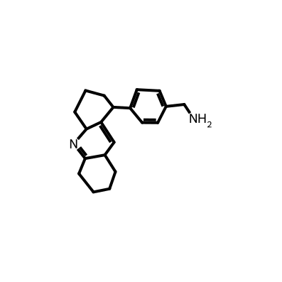 NCc1ccc(C2CCCC3N=C4CCCCC4C=C32)cc1